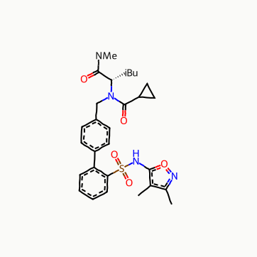 CCC(C)[C@@H](C(=O)NC)N(Cc1ccc(-c2ccccc2S(=O)(=O)Nc2onc(C)c2C)cc1)C(=O)C1CC1